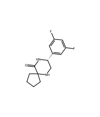 O=C1N[C@H](c2cc(F)cc(F)c2)CNC12CCCC2